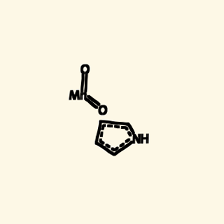 [O]=[Mn]=[O].c1cc[nH]c1